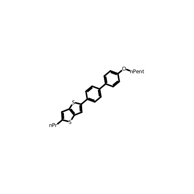 CCCCCOc1ccc(-c2ccc(-c3cc4sc(CCC)cc4s3)cc2)cc1